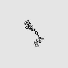 COC(=O)N[C@@H](C(=O)N1CCC[C@H]1c1nc2cc(-c3ccc(C#Cc4c[nH]c([C@@H]5CCCN5C(=O)[C@@H](C(C)C)N(C)C(=O)O)n4)cc3)ccc2[nH]1)C(C)C